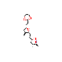 C=C(I)[C@H](C)C[C@H](O)CC[C@@H]1O[C@@H](CCC2OCCCO2)CC1=C